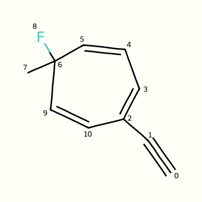 C#CC1=CC=CC(C)(F)C=C1